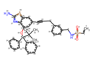 C=CS(=O)(=O)NCc1cccc(CC#Cc2cc(O[Si](c3ccccc3)(c3ccccc3)C(C)(C)C)c3nc(N)sc3c2)c1